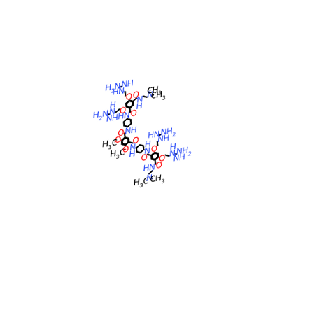 COc1cc(OC)c(C(=O)N[C@H]2CC[C@H](NC(=O)c3cc(C(=O)NCCN(C)C)c(OCCNC(=N)N)cc3OCCNC(=N)N)CC2)cc1C(=O)N[C@H]1CC[C@H](NC(=O)c2cc(C(=O)NCCN(C)C)c(OCCNC(=N)N)cc2OCCNC(=N)N)CC1